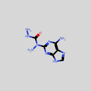 NNC(=O)N(N)c1nc(N)c2nc[nH]c2n1